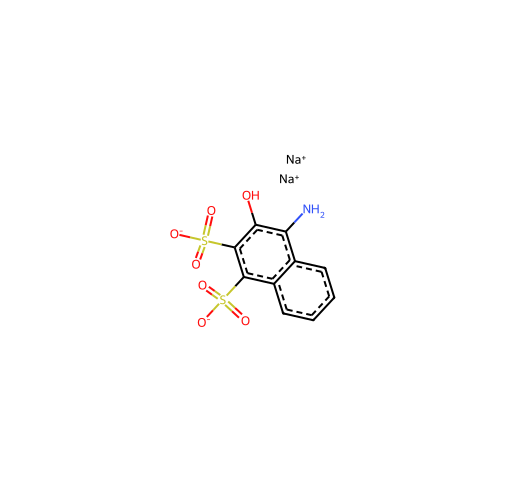 Nc1c(O)c(S(=O)(=O)[O-])c(S(=O)(=O)[O-])c2ccccc12.[Na+].[Na+]